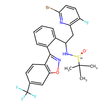 CC(C)(C)[S@+]([O-])NC(Cc1nc(Br)ccc1F)c1ccccc1-c1noc2cc(C(F)(F)F)ccc12